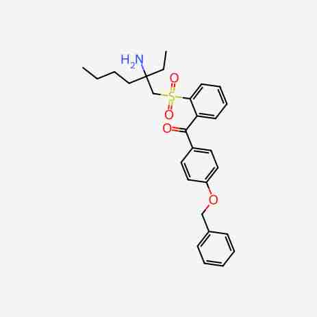 CCCCC(N)(CC)CS(=O)(=O)c1ccccc1C(=O)c1ccc(OCc2ccccc2)cc1